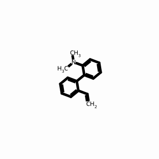 C=Cc1ccccc1-c1ccccc1N(C)C